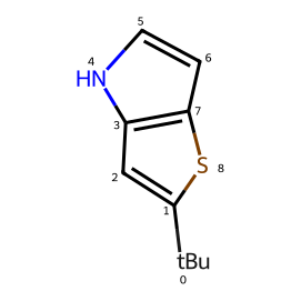 CC(C)(C)c1cc2[nH]ccc2s1